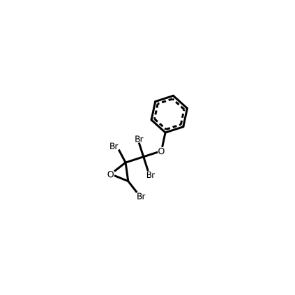 BrC1OC1(Br)C(Br)(Br)Oc1ccccc1